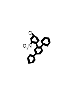 O=[N+]([O-])c1cc(Cl)ccc1-c1cc(-c2ccccc2)ccc1-c1ccccc1